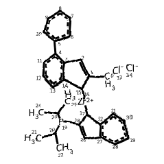 CC1=Cc2c(-c3ccccc3)cccc2[CH]1[Zr+2][CH]1C(P(C(C)C)C(C)C)=Cc2ccccc21.[Cl-].[Cl-]